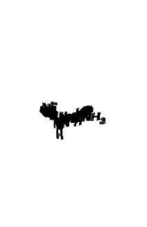 NCC1(c2ccccc2)[C@@H]2CN(c3cnc4c(-c5cc(F)c6ncccc6c5)n[nH]c4n3)C[C@@H]21